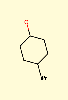 CC(C)C1CCC([O])CC1